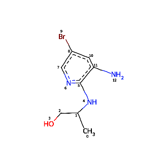 CC(CO)Nc1ncc(Br)cc1N